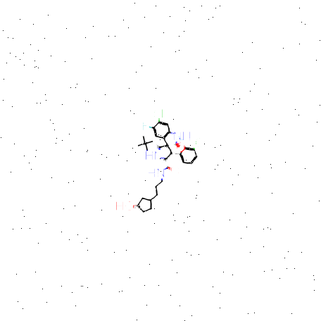 CC(C)(C)C[C@H]1N[C@@H](C(=O)NCCCC2CC[C@@H](O)C2)[C@H](c2cccc(Cl)c2F)[C@@]12C(=O)Nc1cc(Cl)c(F)cc12